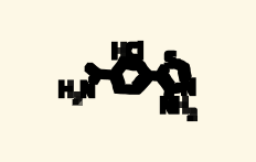 CC(N)c1ccc(-c2scnc2N)cc1.Cl